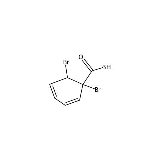 O=C(S)C1(Br)C=CC=CC1Br